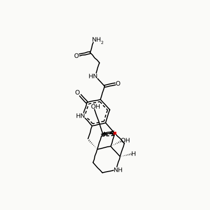 NC(=O)CNC(=O)c1cc2c([nH]c1=O)C[C@]13CCN[C@H](Cc4ccc(O)cc41)[C@]3(O)C2